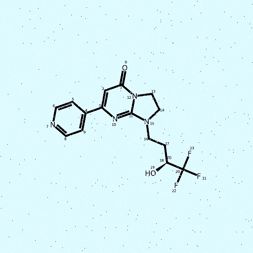 O=c1cc(-c2ccncc2)nc2n1CCN2CC[C@H](O)C(F)(F)F